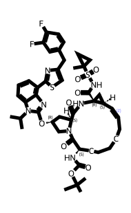 CC(C)n1c(O[C@@H]2C[C@H]3C(=O)N[C@]4(C(=O)NS(=O)(=O)C5(C)CC5)C[C@H]4/C=C\CCCCC[C@H](NC(=O)OC(C)(C)C)C(=O)N3C2)nc2c(-c3nc(Cc4ccc(F)c(F)c4)cs3)cccc21